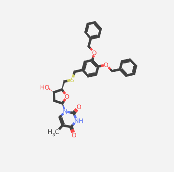 Cc1cn([C@H]2C[C@H](O)[C@@H](CSCc3ccc(OCc4ccccc4)c(OCc4ccccc4)c3)O2)c(=O)[nH]c1=O